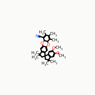 COc1cc2c(cc1OC)C1(CC2(C)C)CC(C)(C)c2cc3c(cc21)OC1C(C)=C(C)C(C)=C(C#N)C1O3